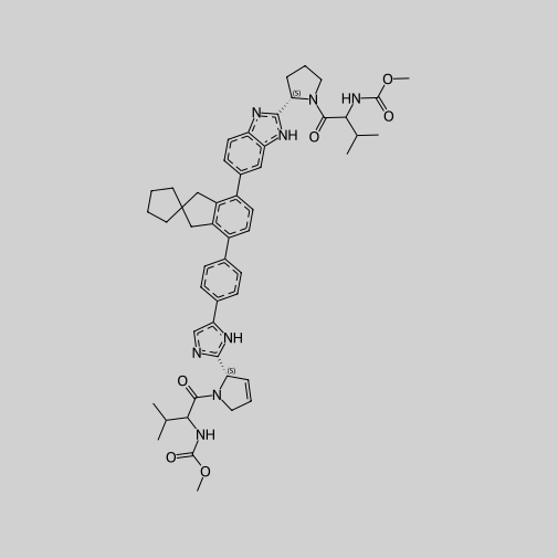 COC(=O)NC(C(=O)N1CC=C[C@H]1c1ncc(-c2ccc(-c3ccc(-c4ccc5nc([C@@H]6CCCN6C(=O)C(NC(=O)OC)C(C)C)[nH]c5c4)c4c3CC3(CCCC3)C4)cc2)[nH]1)C(C)C